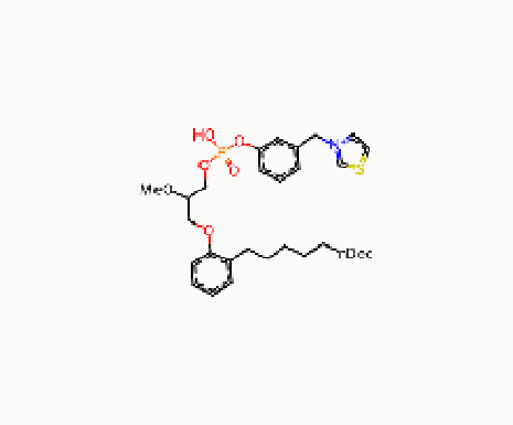 CCCCCCCCCCCCCCCc1ccccc1OCC(COP(=O)(O)Oc1cccc(C[n+]2ccsc2)c1)OC